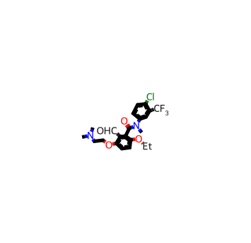 CCOc1ccc(OCCN(C)C)c(C=O)c1C(=O)N(C)c1ccc(Cl)c(C(F)(F)F)c1